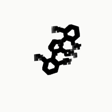 CC(C)c1cccc(C(C)C)c1N1C=CN(c2c(C(C)C)cccc2C(C)C)C1C